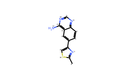 Cc1nc(-c2ccc3ncnc(N)c3c2)cs1